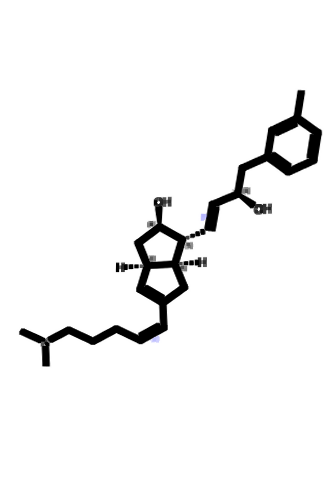 Cc1cccc(C[C@@H](O)/C=C/[C@@H]2[C@H]3CC(/C=C\CCCN(C)C)=C[C@H]3C[C@H]2O)c1